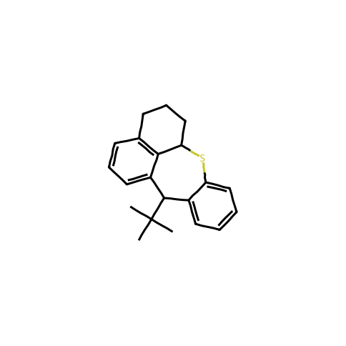 CC(C)(C)C1c2ccccc2SC2CCCc3cccc1c32